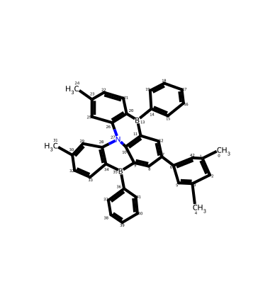 Cc1cc(C)cc(-c2cc3c4c(c2)B(c2ccccc2)c2ccc(C)cc2N4c2cc(C)ccc2B3c2ccccc2)c1